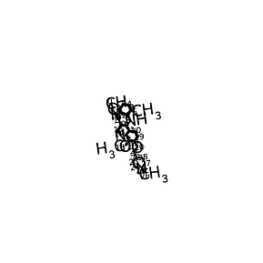 COc1ccc(C)c(Nc2c(C#N)cnc3c(OC)c(OCC4CCN(C)CC4)ccc23)c1